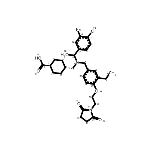 CCc1cc(CN(C[C@H]2CC[C@H](C(=O)O)CC2)C(C)c2ccc(Cl)c(F)c2)ccc1OCCN1C(=O)CCC1=O